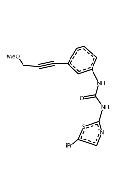 COCC#Cc1cccc(NC(=O)Nc2ncc(C(C)C)s2)c1